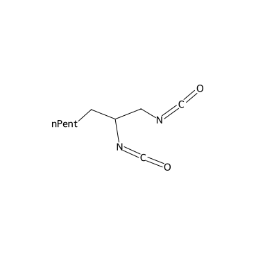 CCCCCCC(CN=C=O)N=C=O